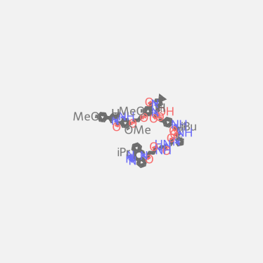 CC[C@H](C)[C@H](NC(=O)[C@@H]1CCCN1C(=O)CNC(=O)CNC(=O)CCC(=O)N1Cc2ccccc2-c2c(nnn2C(C)C)-c2ccccc21)C(=O)Nc1ccc(COC(=O)N2c3cc(OCCCOc4cc5c(cc4OC)C(=O)N4C=C(c6ccc(OC)cc6)C[C@H]4CN5)c(OC)cc3C(=O)N3CC4(CC4)C[C@H]3[C@@H]2O)cc1